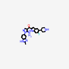 Cc1nc2cc(-n3ncc(C(=O)c4cc5cc(C6CCNCC6)c(F)cc5[nH]4)c3N)ccc2[nH]1